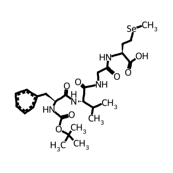 C[Se]CC[C@H](NC(=O)CNC(=O)[C@@H](NC(=O)[C@H](Cc1ccccc1)NC(=O)OC(C)(C)C)C(C)C)C(=O)O